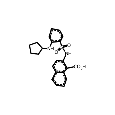 O=C(O)c1c(NS(=O)(=O)c2ccccc2NC2CCCC2)ccc2ccccc12